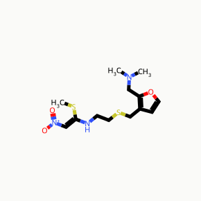 CS/C(=C\[N+](=O)[O-])NCCSCc1ccoc1CN(C)C